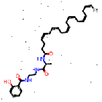 CC/C=C\C/C=C\C/C=C\C/C=C\C/C=C\C/C=C\CCC(=O)N[C@@H](C)C(=O)NCCNC(=O)c1ccccc1O